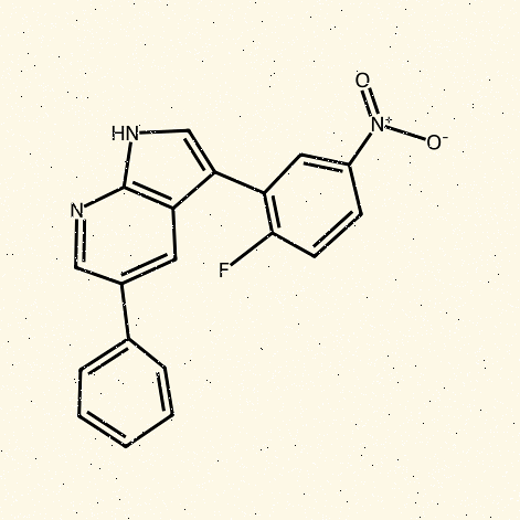 O=[N+]([O-])c1ccc(F)c(-c2c[nH]c3ncc(-c4ccccc4)cc23)c1